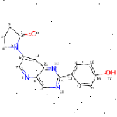 O=C1CCCN1c1cnc2cnc(-c3ccc(O)cc3)nc2c1